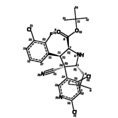 CC(C)(C)C[C@H]1N[C@H](C(=O)OC(C)(C)C)[C@H](c2cccc(Cl)c2F)[C@]1(C#N)c1cnc(Cl)cc1Cl